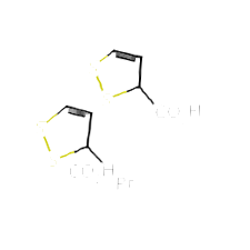 O=C(O)C1C=CSS1.O=C(O)C1C=CSS1.[Pt]